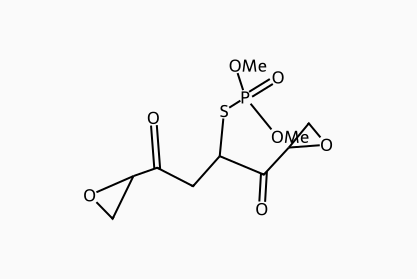 COP(=O)(OC)SC(CC(=O)C1CO1)C(=O)C1CO1